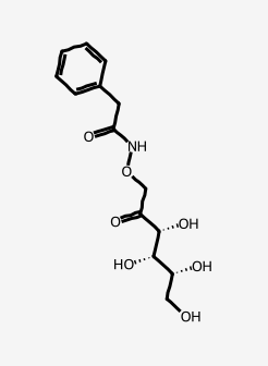 O=C(Cc1ccccc1)NOCC(=O)[C@H](O)[C@@H](O)[C@H](O)CO